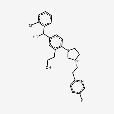 OCCc1cc(C(O)c2ccccc2Cl)ccc1N1CC[C@H](CCc2ccc(F)cn2)C1